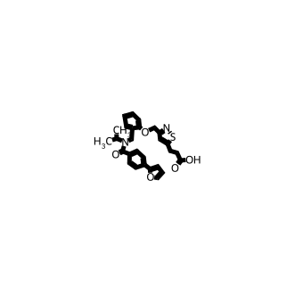 CC(C)N(Cc1ccccc1OCc1cc(CCC(=O)O)sn1)C(=O)c1ccc(-c2ccco2)cc1